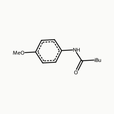 CCC(C)C(=O)Nc1ccc(OC)cc1